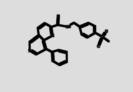 CS(=O)(=O)c1ccc(CNC(=O)c2ccc3cncc(-c4ccccc4)c3n2)cc1